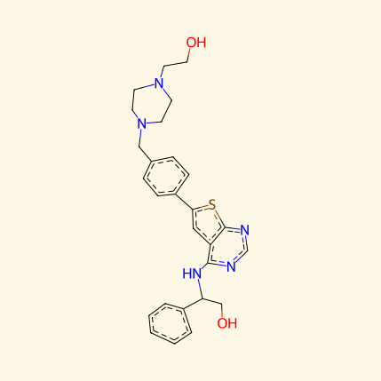 OCCN1CCN(Cc2ccc(-c3cc4c(NC(CO)c5ccccc5)ncnc4s3)cc2)CC1